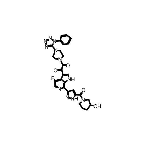 O=C(C(=O)N1CCN(c2nnnn2-c2ccccc2)CC1)c1c[nH]c2c(-c3cc(C(=O)N4CCCC(O)C4)[nH]n3)ncc(F)c12